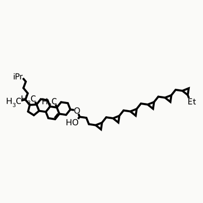 CCC1CC1CC1CC1CC1CC1CC1CC1CC1CC1CC1CC1CCC(O)OC1CCC2(C)C(=CCC3C2CCC2(C)C(C(C)CCCC(C)C)CCC32)C1